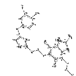 CCCCn1c(=O)n(CCCn2nnc(Cc3ccc(F)c(F)c3)n2)c(=O)c2[nH]c(Cl)nc21